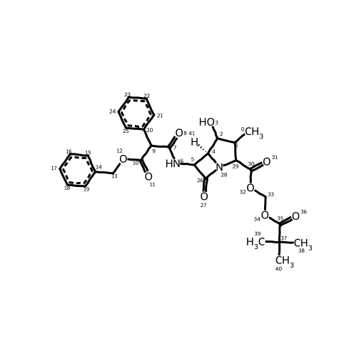 CC1C(O)[C@@H]2C(NC(=O)C(C(=O)OCc3ccccc3)c3ccccc3)C(=O)N2C1C(=O)OCOC(=O)C(C)(C)C